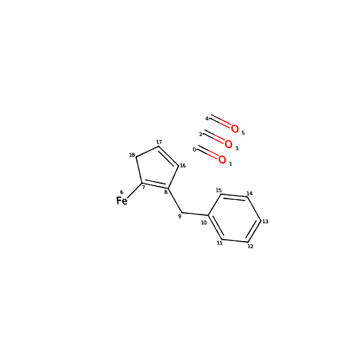 [C]=O.[C]=O.[C]=O.[Fe][C]1=C(Cc2ccccc2)C=CC1